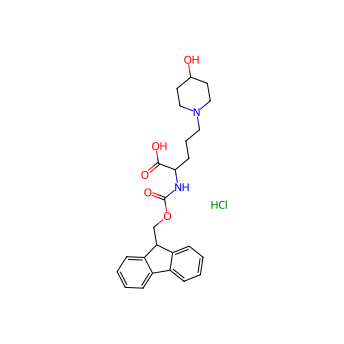 Cl.O=C(NC(CCCN1CCC(O)CC1)C(=O)O)OCC1c2ccccc2-c2ccccc21